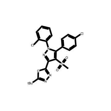 CC(C)(C)c1nnc(-c2nn(-c3ccccc3Cl)c(-c3ccc(Cl)cc3)c2S(C)(=O)=O)o1